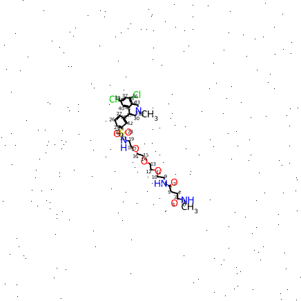 CNC(=O)CCC(=O)NCCOCCOCCOCCNS(=O)(=O)c1cccc(C2CN(C)Cc3c(Cl)cc(Cl)cc32)c1